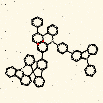 c1ccc(-c2ccccc2-c2ccccc2N(c2ccc(-c3ccc4c(c3)c3ccccc3n4-c3ccccc3)cc2)c2cccc(-c3ccc4c(c3)C3(c5ccccc5-4)c4ccccc4-n4c5ccccc5c5cccc3c54)c2)cc1